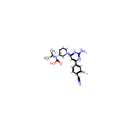 CC(C)N(C(=O)O)[C@@H]1CCCN(c2cc(-c3ccc(C#N)c(F)c3)nc(N)n2)C1